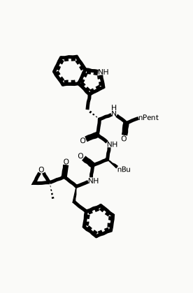 CCCCCC(=O)N[C@@H](Cc1c[nH]c2ccccc12)C(=O)N[C@@H](CCCC)C(=O)N[C@@H](Cc1ccccc1)C(=O)[C@@]1(C)CO1